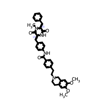 COc1cc2c(cc1OC)CN(CCc1ccc(C(=O)Nc3ccc(/C=c4\[nH]c(=O)/c(=C/c5ccccc5)n(C)c4=O)cc3)cc1)CC2